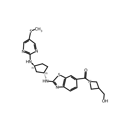 CSc1cnc(N[C@H]2CC[C@H](Nc3nc4ccc(C(=O)N5CC(CO)C5)cc4s3)C2)nc1